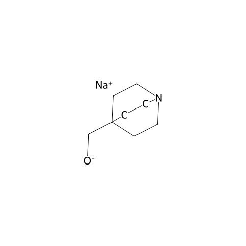 [Na+].[O-]CC12CCN(CC1)CC2